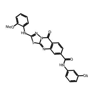 COc1cccc(NC(=O)c2ccc3c(=O)n4nc(Nc5ccccc5OC)sc4nc3c2)c1